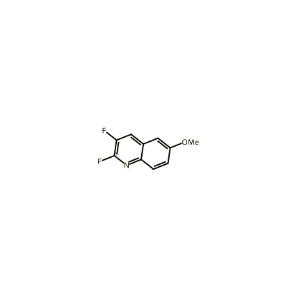 COc1ccc2nc(F)c(F)cc2c1